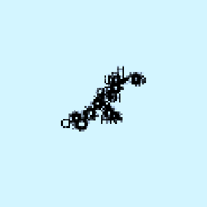 O=C(NS(=O)(=O)c1ccc(NCCN2CCOCC2)c([N+](=O)[O-])c1)c1ccc(N2CCN(C3CCCCc4c(Cl)cccc43)CC2)cc1Oc1cnc2[nH]ccc2c1